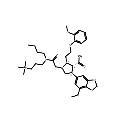 CCCCN(CCC[N+](C)(C)C)C(=O)CN1C[C@H](c2cc(OC)c3c(c2)OCO3)[C@@H](C(=O)O)[C@@H]1CCOc1ccccc1OC